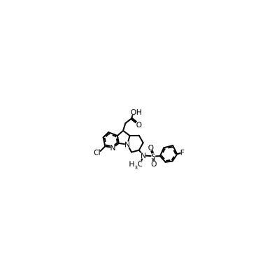 CN(C1CCC2C(CC(=O)O)c3ccc(Cl)nc3N2C1)S(=O)(=O)c1ccc(F)cc1